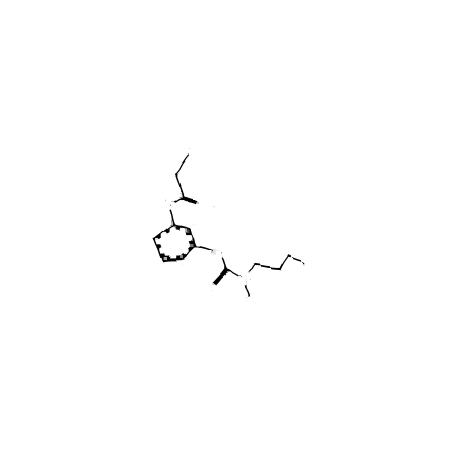 CCCCN(C)C(=S)Nc1cccc(NC(=O)CC)c1